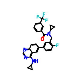 O=C(c1cccc(C(F)(F)F)c1)N(Cc1cc(-c2ccc3ncnc(NC4CC4)c3c2)ccc1F)C1CC1